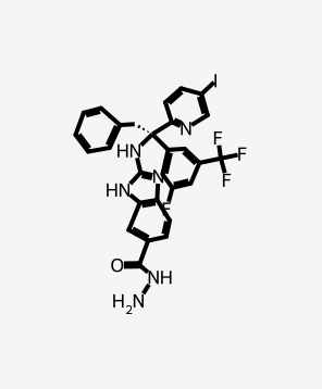 NNC(=O)c1ccc2nc(N[C@](Cc3ccccc3)(c3cc(F)cc(C(F)(F)F)c3)c3ccc(I)cn3)[nH]c2c1